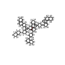 c1cc(-c2ccc3ccccc3c2)cc(N(c2cccc(-c3ccccc3N(c3ccc(-c4ccc(-c5cccc6ccccc56)cc4)cc3)c3ccc(-c4cccc5c4oc4ccc6ccccc6c45)cc3)c2)c2ccc3c(ccc4ccccc43)c2)c1